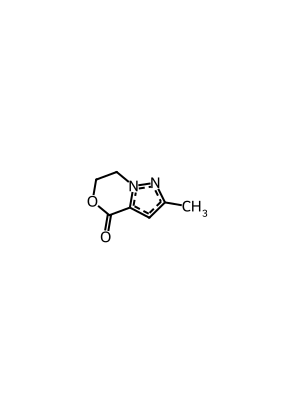 Cc1cc2n(n1)CCOC2=O